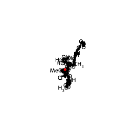 COc1ccc2c(OS(=O)(=O)Oc3cc(C(=O)N(C)CCOCCn4cc(CCOCCN5C(=O)C=CC5=O)nn4)ccc3O[C@@H]3O[C@H](CO)[C@H](O)[C@H](O)[C@H]3O)cc3c(c2c1)[C@H](CCl)CN3C(=O)c1cc2cc(S(C)(=O)=O)ccc2[nH]1